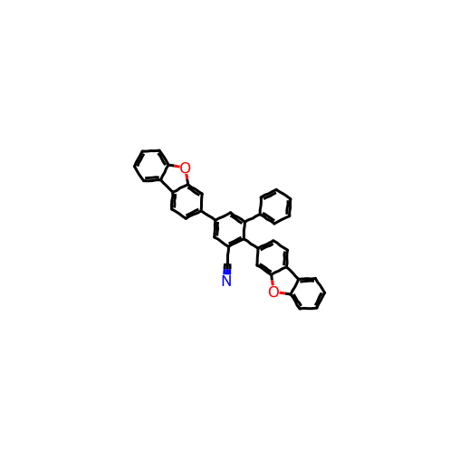 N#Cc1cc(-c2ccc3c(c2)oc2ccccc23)cc(-c2ccccc2)c1-c1ccc2c(c1)oc1ccccc12